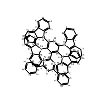 C1=Cc2c(c3ccccc3n2-c2nc(-n3c4ccccc4c4ccccc43)c(-n3c4ccccc4c4ccccc43)c(-c3nc(-c4ccccc4)nc(-c4ccccc4)n3)c2-n2c3c(c4ccccc42)CCC=C3)CC1